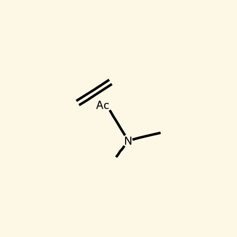 C=C.CC(=O)N(C)C